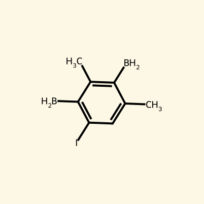 Bc1c(C)cc(I)c(B)c1C